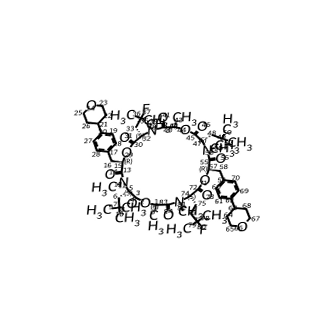 C[C@H]1OC(=O)[C@H](CC(C)(C)C)N(C)C(=O)[C@@H](Cc2ccc(C3CCOCC3)cc2)OC(=O)[C@H](CC(C)(C)F)N(C)C(=O)[C@@H](C)OC(=O)[C@H](CC(C)(C)C)N(C)C(=O)[C@@H](Cc2ccc(C3CCOCC3)cc2)OC(=O)[C@H](CCC(C)(C)F)N(C)C1=O